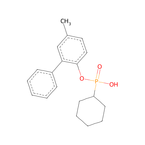 Cc1ccc(OP(=O)(O)C2CCCCC2)c(-c2ccccc2)c1